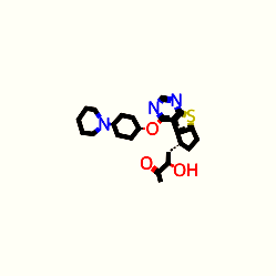 CC(=O)[C@H](O)C[C@H]1CCc2sc3ncnc(O[C@H]4CC[C@H](N5CCCCC5)CC4)c3c21